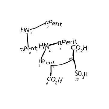 CCCCCNCCCCC.CCCCCNCCCCC.O=C(O)CC(C(=O)O)S(=O)(=O)O